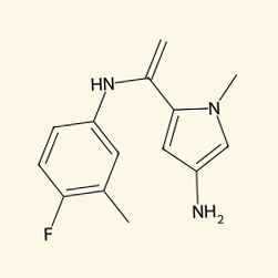 C=C(Nc1ccc(F)c(C)c1)c1cc(N)cn1C